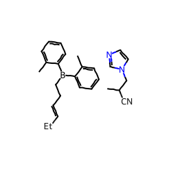 CC(C#N)Cn1ccnc1.CCC=CCCB(c1ccccc1C)c1ccccc1C